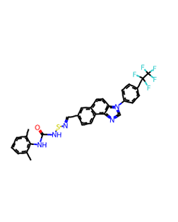 Cc1cccc(C)c1NC(=O)NS/N=C/c1ccc2c(ccc3c2ncn3-c2ccc(C(F)(F)C(F)(F)F)cc2)c1